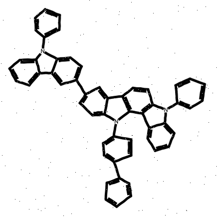 c1ccc(-c2ccc(-n3c4ccc(-c5ccc6c(c5)c5ccccc5n6-c5ccccc5)cc4c4ccc5c(c6ccccc6n5-c5ccccc5)c43)cc2)cc1